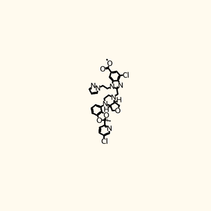 COC(=O)c1cc(Cl)c2nc(CN3CCN(c4cccc5c4O[C@](C)(c4ccc(Cl)cn4)O5)[C@H]4COC[C@H]43)n(CCn3cccn3)c2c1